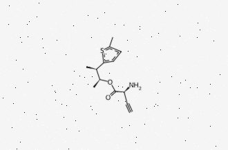 C#C[C@H](N)C(=O)O[C@@H](C)[C@@H](C)c1ccc(C)s1